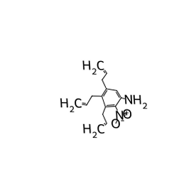 C=CCc1cc(N)c([N+](=O)[O-])c(CC=C)c1CC=C